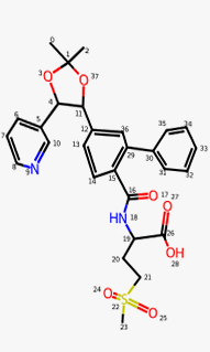 CC1(C)OC(c2cccnc2)C(c2ccc(C(=O)NC(CCS(C)(=O)=O)C(=O)O)c(-c3ccccc3)c2)O1